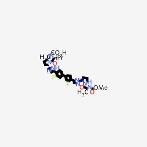 COC(=O)N[C@@H](C)C(=O)N1CCCC1c1ncc(-c2ccc(-c3ccc(-c4cnc([C@@H]5CCCN5C(=O)[C@H](C(C)C)N(C)C(=O)O)[nH]4)c(F)c3)cc2F)[nH]1